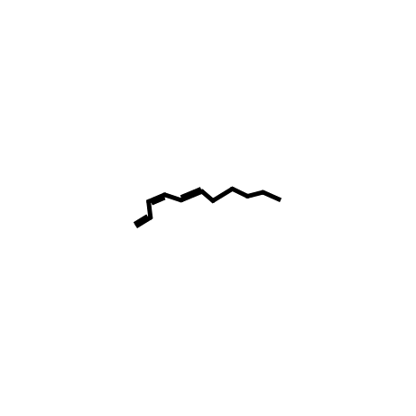 C=C/C=C\C=C\CCCCC